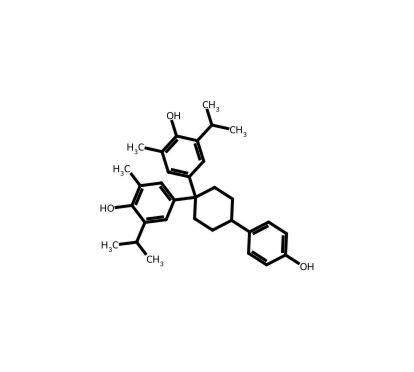 Cc1cc(C2(c3cc(C)c(O)c(C(C)C)c3)CCC(c3ccc(O)cc3)CC2)cc(C(C)C)c1O